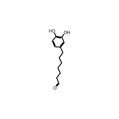 O=CCCCCCCc1ccc(O)c(O)c1